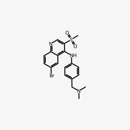 CN(C)Cc1ccc(Nc2c(S(C)(=O)=O)cnc3ccc(Br)cc23)cc1